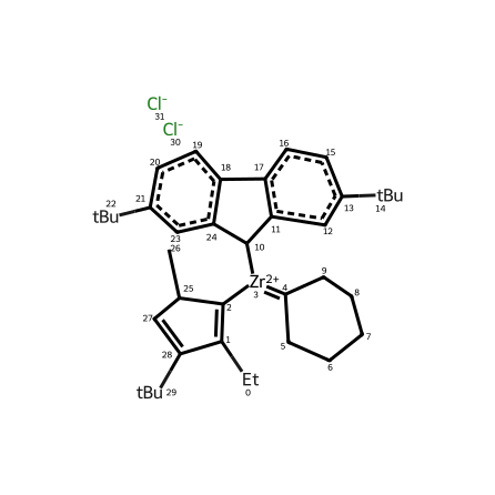 CCC1=[C]([Zr+2](=[C]2CCCCC2)[CH]2c3cc(C(C)(C)C)ccc3-c3ccc(C(C)(C)C)cc32)C(C)C=C1C(C)(C)C.[Cl-].[Cl-]